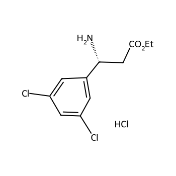 CCOC(=O)C[C@@H](N)c1cc(Cl)cc(Cl)c1.Cl